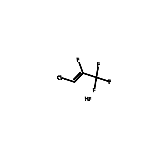 F.FC(=CCl)C(F)(F)F